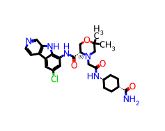 CC1(C)CN(CC(=O)N[C@H]2CC[C@@H](C(N)=O)CC2)[C@H](C(=O)Nc2cc(Cl)cc3c2[nH]c2cnccc23)CO1